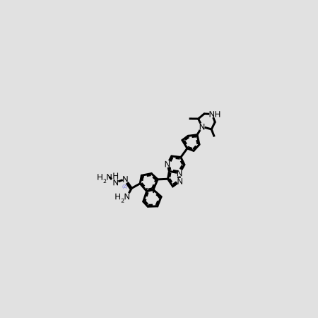 CC1CNCC(C)N1c1ccc(-c2cnc3c(-c4ccc(/C(N)=N/NN)c5ccccc45)cnn3c2)cc1